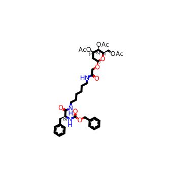 CC(=O)OC[C@H]1O[C@@H](OCC(=O)NCCCCCCNC(=O)[C@H](Cc2ccccc2)NC(=O)OCc2ccccc2)C[C@@H](OC(C)=O)[C@@H]1OC(C)=O